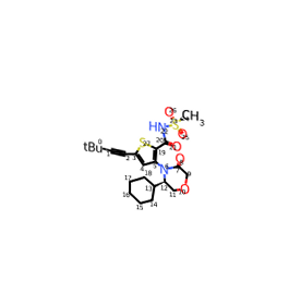 CC(C)(C)C#Cc1cc(N2C(=O)COC[C@H]2C2CCCCC2)c(C(=O)NS(C)(=O)=O)s1